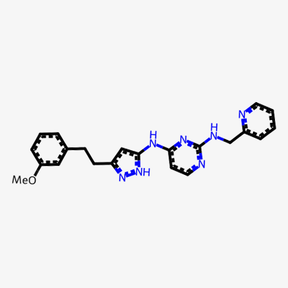 COc1cccc(CCc2cc(Nc3ccnc(NCc4ccccn4)n3)[nH]n2)c1